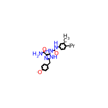 Cc1cc(NC(=O)Nc2[nH]c(Cc3ccc([O])cc3)nc2C(N)=O)ccc1C(C)C